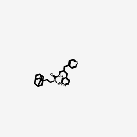 CCCCCN(CCC12CC3CC(CC(C3)C1)C2)C(=O)NCC(Cc1ccncc1)Cc1ccncc1